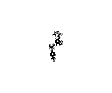 CCOC(Cc1ccc(OCc2nc(-c3ccc(C(C)(C)C)cc3)oc2C)c2c1OCC2)C(=O)O